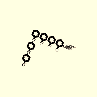 [Ca+2].[Ca+2].[Ca+2].[O-]c1ccccc1.[O-]c1ccccc1.[O-]c1ccccc1.[O-]c1ccccc1.[O-]c1ccccc1.[O-]c1ccccc1